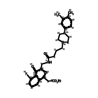 CCOC(=O)Cc1nn(CNC(=O)CCCN2CCN(c3ccc(C)c(C)c3)CC2)c(=O)c2c(F)cccc12